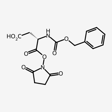 O=C(O)C[C@H](NC(=O)OCc1ccccc1)C(=O)ON1C(=O)CCC1=O